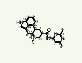 Cc1cc(NC(=O)[C@@H]2CC3c4cccc5[nH]cc(c45)C[C@H]3N(C)C2)nc(C)n1